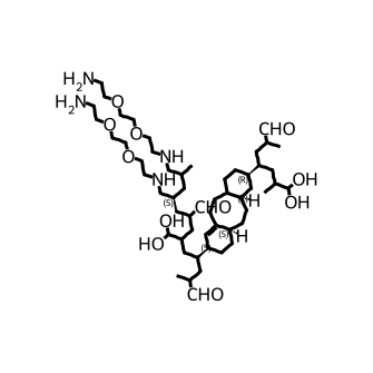 CC(C=O)CC(CC(C)C(O)O)[C@@H]1CCC2CCC3=C[C@H](C(CC(C)C=O)CC(CC(C=O)C[C@@H](CNCCOCCOCCN)CC(C)CNCCOCCOCCN)C(O)O)CC[C@@H]3CC[C@@H]2C1